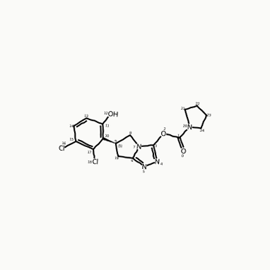 O=C(Oc1nnc2n1C[C@H](c1c(O)ccc(Cl)c1Cl)C2)N1CCCC1